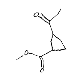 COC(=O)C1CC1C(C)=O